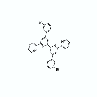 Brc1cccc(-c2cc(-c3ccccn3)nc(-c3cc(-c4cccc(Br)c4)cc(-c4ccccn4)n3)c2)c1